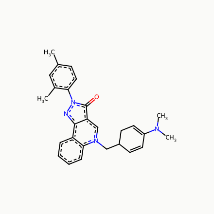 Cc1ccc(-n2nc3c4ccccc4n(CC4C=CC(N(C)C)=CC4)cc-3c2=O)c(C)c1